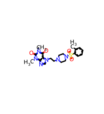 Cc1ccccc1S(=O)(=O)N1CCN(CCn2cnc3c2c(=O)n(C)c(=O)n3C)CC1